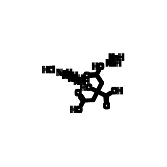 Cl.O=C(O)CC(O)(CC(=O)O)C(=O)O.[NaH].[NaH].[NaH].[NaH].[NaH].[NaH]